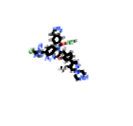 Cc1cc(N2CCNCC2)ncc1-c1ccc(C[C@@H](C(N)=O)N(c2ccc(-c3nnc(Cl)[nH]3)cc2)C(=O)[C@H]2CC[C@H](CN)CC2)cc1.Cl